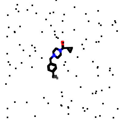 Cc1ccc(CN2CCN(C(=O)C3CC3)CC2)cc1